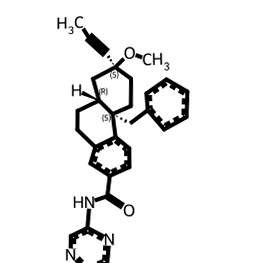 CC#C[C@]1(OC)CC[C@@]2(Cc3ccccc3)c3ccc(C(=O)Nc4cnccn4)cc3CC[C@@H]2C1